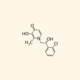 Cc1c(O)c(=O)ccn1C[C@@H](O)c1ccccc1Cl